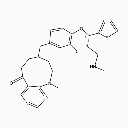 CNCC[C@H](Oc1ccc(CC2CCC(=O)c3cncnc3N(C)CC2)cc1Cl)c1cccs1